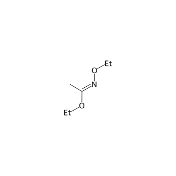 CCO/N=C(\C)OCC